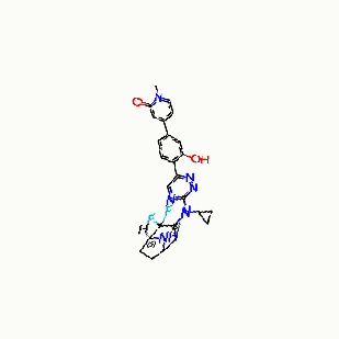 Cn1ccc(-c2ccc(-c3cnc(N(C4CC4)[C@H]4CC5CC[C@H](N5)C4(F)F)nn3)c(O)c2)cc1=O